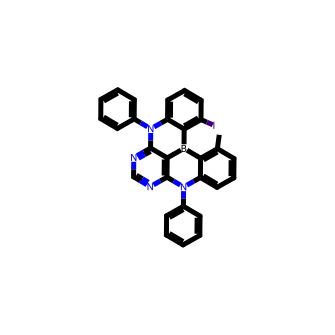 Cc1cccc2c1B1c3c(I)cccc3N(c3ccccc3)c3ncnc(c31)N2c1ccccc1